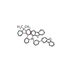 CC1(C)c2ccccc2-c2c(-c3ccccc3N(c3cccc(-c4ccc5oc6ccccc6c5c4)c3)c3cccc4c3sc3ccccc34)cccc21